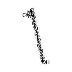 OCCOCCOCCOCCOCCOCCOCCOCCOc1nc(Cl)nc(Cl)n1